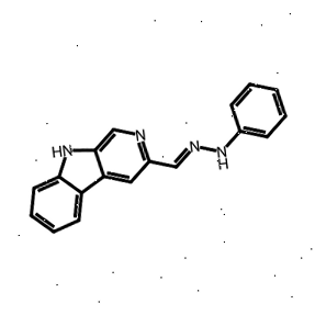 C(=N\Nc1ccccc1)/c1cc2c(cn1)[nH]c1ccccc12